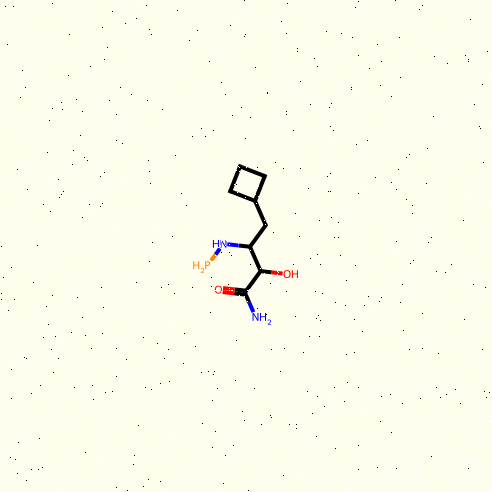 NC(=O)C(O)C(CC1CCC1)NP